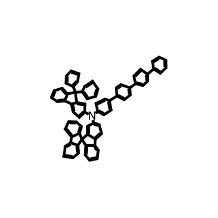 c1ccc(-c2ccc(-c3ccc(-c4ccc(N(c5ccc6c(c5)C(c5ccccc5)(c5ccccc5)c5ccccc5-6)c5ccc6c(c5)C5(c7ccccc7-c7ccccc75)c5ccccc5-6)cc4)cc3)cc2)cc1